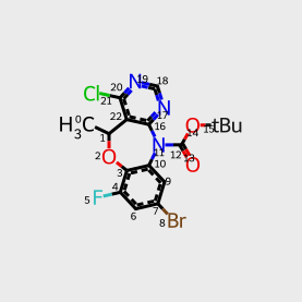 CC1Oc2c(F)cc(Br)cc2N(C(=O)OC(C)(C)C)c2ncnc(Cl)c21